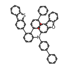 c1ccc(-c2ccc(-c3c(-c4ccc5c(c4)sc4ccccc45)cccc3N(c3ccc(-c4ccccc4)cc3)c3ccc4c(c3)oc3ccccc34)cc2)cc1